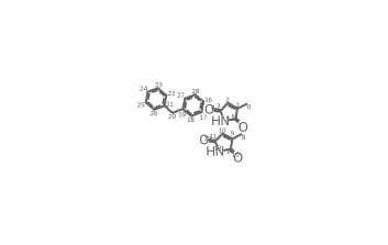 CC1=CC(=O)NC1=O.CC1=CC(=O)NC1=O.c1ccc(Cc2ccccc2)cc1